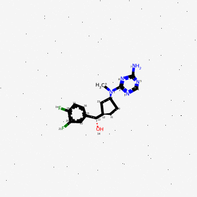 CN(c1ncnc(N)n1)[C@H]1CC[C@@H]([C@H](O)c2ccc(F)c(F)c2)C1